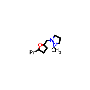 CC(C)C1CCC(CN2CCCN2C)O1